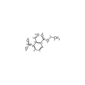 CCOC(=O)c1cccc([N+](=O)[O-])c1[C]=O